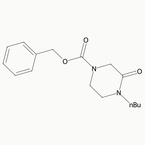 CCCCN1CCN(C(=O)OCc2ccccc2)CC1=O